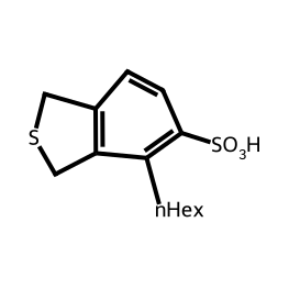 CCCCCCc1c(S(=O)(=O)O)ccc2c1CSC2